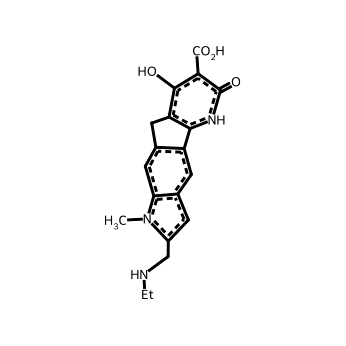 CCNCc1cc2cc3c(cc2n1C)Cc1c-3[nH]c(=O)c(C(=O)O)c1O